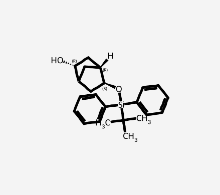 CC(C)(C)[Si](O[C@H]1CC2C[C@@H]1C[C@H]2O)(c1ccccc1)c1ccccc1